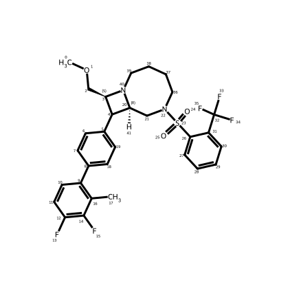 COC[C@@H]1C(c2ccc(-c3ccc(F)c(F)c3C)cc2)[C@@H]2CN(S(=O)(=O)c3ccccc3C(F)(F)F)CCCCN12